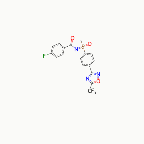 CS(=O)(=NC(=O)c1ccc(F)cc1)c1ccc(-c2noc(C(F)(F)F)n2)cc1